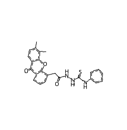 Cc1ccc2c(=O)c3cccc(CC(=O)NNC(=S)Nc4ccccc4)c3oc2c1C